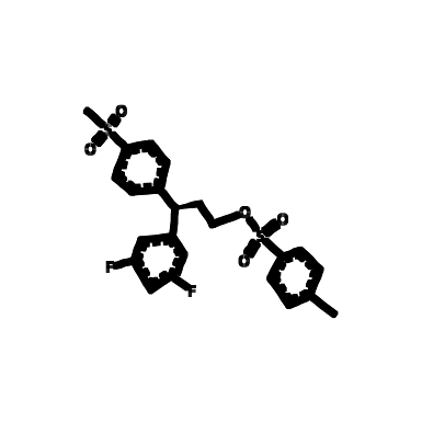 Cc1ccc(S(=O)(=O)OCC[C@H](c2ccc(S(C)(=O)=O)cc2)c2cc(F)cc(F)c2)cc1